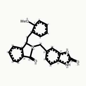 COc1ccccc1CC1c2ccccc2C(=O)N1Cc1ccc2[nH]c(=O)oc2c1